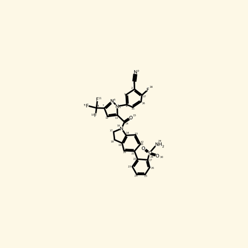 N#Cc1cc(-n2nc(C(F)(F)F)cc2C(=O)N2CCc3cc(-c4ccccc4S(N)(=O)=O)ccc32)ccc1F